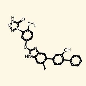 Cc1ccc(Oc2nc3cc(-c4ccc(-c5ccccc5)c(O)c4)c(F)cc3[nH]2)cc1-n1nn[nH]c1=O